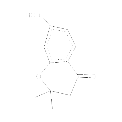 CC1(C)CC(=O)c2ccc(C(=O)O)cc2O1